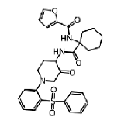 O=C(NC1(C(=O)NC2CCN(c3ccccc3S(=O)(=O)c3ccccc3)CC2=O)CCCCC1)c1ccco1